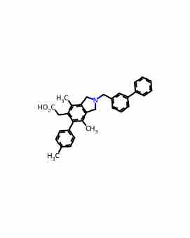 Cc1ccc(-c2c(C)c3c(c(C)c2CC(=O)O)CN(Cc2cccc(-c4ccccc4)c2)C3)cc1